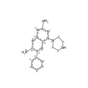 Nc1nc(N2CCNCC2)c2nc(-c3ccccc3)c(N)nc2n1